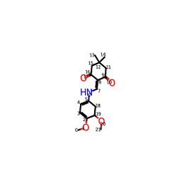 COC1=CC=C(NC=C2C(=O)CC(C)(C)CC2=O)CC1OC